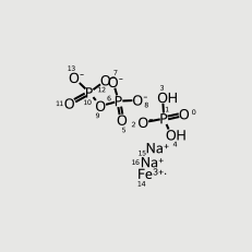 O=P([O-])(O)O.O=P([O-])([O-])OP(=O)([O-])[O-].[Fe+3].[Na+].[Na+]